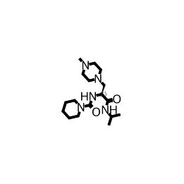 CC(C)NC(=O)[C@H](CN1CCN(C)CC1)NC(=O)N1CCCCC1